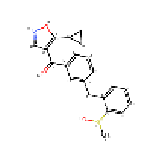 C[S+]([O-])c1ccccc1Cc1cccc(C(=O)c2cnoc2C2CC2)c1